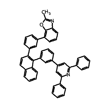 Cc1nc2cccc(-c3cccc(-c4ccc5ccccc5c4-c4cccc(-c5cc(-c6ccccc6)nc(-c6ccccc6)c5)c4)c3)c2o1